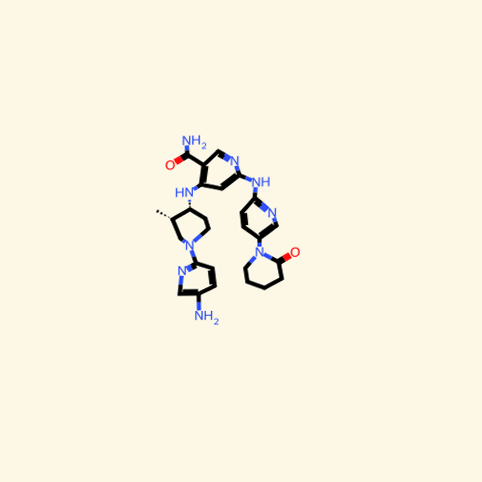 C[C@H]1CN(c2ccc(N)cn2)CC[C@H]1Nc1cc(Nc2ccc(N3CCCCC3=O)cn2)ncc1C(N)=O